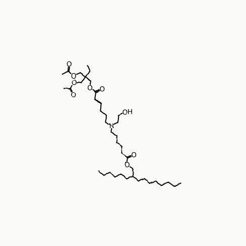 CCCCCCCCC(CCCCCC)COC(=O)CCCCCN(CCO)CCCCCC(=O)OCC(CC)(COC(C)=O)COC(C)=O